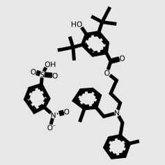 Cc1ccccc1CN(CCCOC(=O)c1cc(C(C)(C)C)c(O)c(C(C)(C)C)c1)Cc1ccccc1C.O=[N+]([O-])c1cccc(S(=O)(=O)O)c1